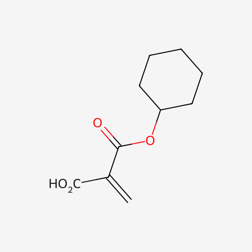 C=C(C(=O)O)C(=O)OC1CCCCC1